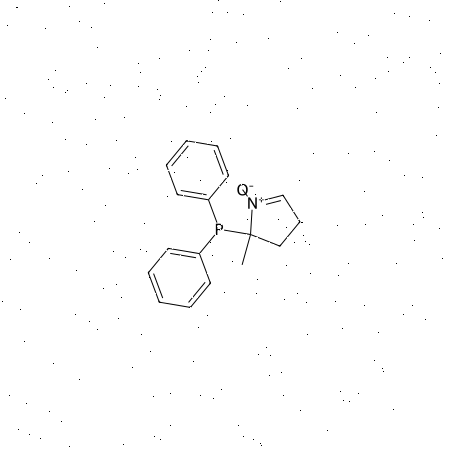 CC1(P(c2ccccc2)c2ccccc2)CCC=[N+]1[O-]